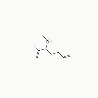 C=CCCC(NC)C(=C)C